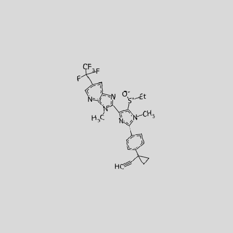 C#CC1(c2ccc(-c3nc(-c4nc5cc(C(F)(F)C(F)(F)F)cnc5n4C)c([S+]([O-])CC)n3C)cc2)CC1